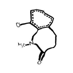 CN1C(=O)CCc2cccc(Cl)c21